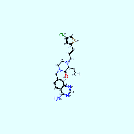 CCC1C(=O)N(Cc2ccc3c(N)ncnc3c2)CCN1C/C=C/c1cc(Cl)cs1